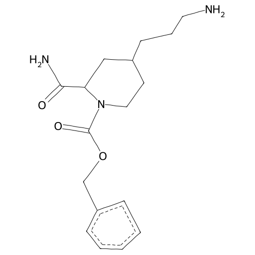 NCCCC1CCN(C(=O)OCc2ccccc2)C(C(N)=O)C1